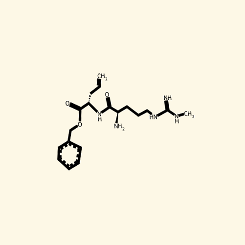 C=CC[C@H](NC(=O)[C@H](N)CCCNC(=N)NC)C(=O)OCc1ccccc1